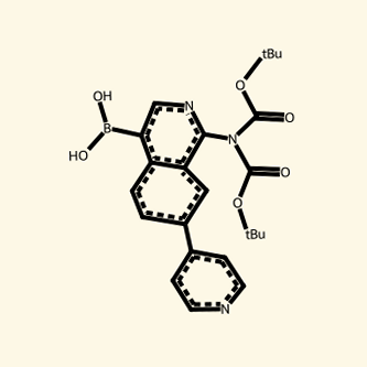 CC(C)(C)OC(=O)N(C(=O)OC(C)(C)C)c1ncc(B(O)O)c2ccc(-c3ccncc3)cc12